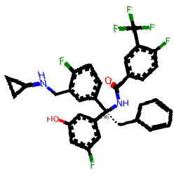 O=C(N[C@@](CC1C=CC=CC1)(c1cc(O)cc(F)c1)c1ccc(F)c(CNC2CC2)c1)c1ccc(F)c(C(F)(F)F)c1